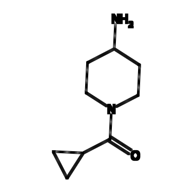 NC1CCN(C(=O)C2CC2)CC1